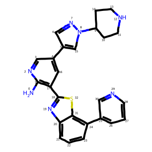 Nc1ncc(-c2cnn(C3CCNCC3)c2)cc1-c1nc2cccc(-c3cccnc3)c2s1